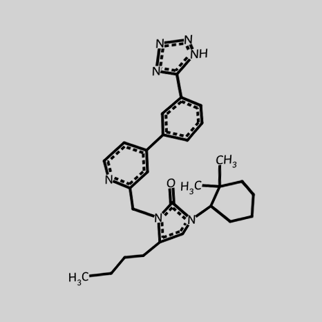 CCCCc1cn(C2CCCCC2(C)C)c(=O)n1Cc1cc(-c2cccc(-c3nnn[nH]3)c2)ccn1